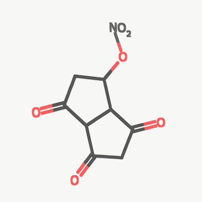 O=C1CC(=O)C2C(O[N+](=O)[O-])CC(=O)C12